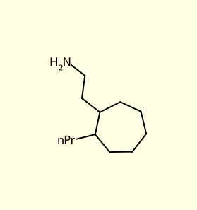 CCCC1CCCCCC1CCN